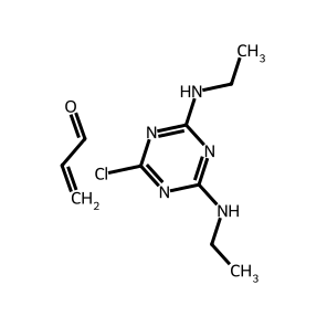 C=CC=O.CCNc1nc(Cl)nc(NCC)n1